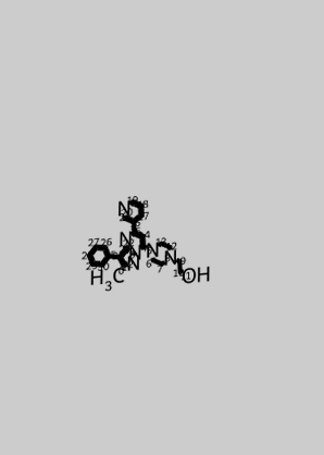 Cc1nn2c(N3CCN(CCO)CC3)cc(-c3cccnc3)nc2c1-c1ccccc1